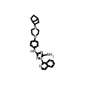 Nc1nc(Nc2ccc(N3CCN(C4CC5CCC4C5)CC3)cc2)nn1-c1nccc2ccccc12